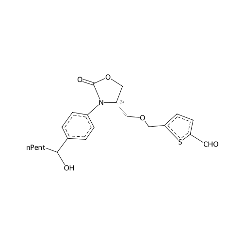 CCCCCC(O)c1ccc(N2C(=O)OC[C@@H]2COCc2ccc(C=O)s2)cc1